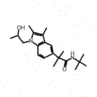 Cc1c(C)n(CC(C)O)c2ccc(C(C)(C)C(=O)NC(C)(C)C)cc12